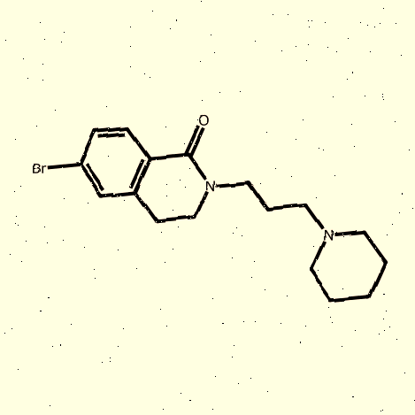 O=C1c2ccc(Br)cc2CCN1CCCN1CCCCC1